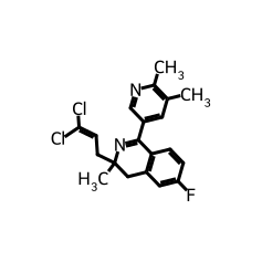 Cc1cc(C2=NC(C)(CC=C(Cl)Cl)Cc3cc(F)ccc32)cnc1C